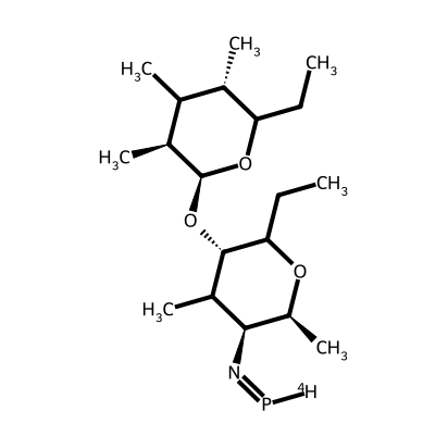 [4H]/P=N\[C@H]1C(C)[C@H](O[C@@H]2OC(CC)[C@@H](C)C(C)[C@@H]2C)C(CC)O[C@H]1C